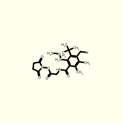 Cc1c(C)c(C(=O)NCC(=O)ON2C(=O)CCC2=O)c([SiH2]O[SiH3])c(C(C)(C)C)c1CBr